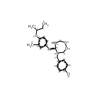 CC[C@H](C)Oc1ccc(/N=C2\NCOOCN2Cc2ccc(Cl)cc2)cc1C